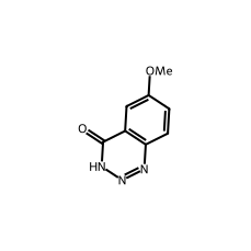 COc1ccc2nn[nH]c(=O)c2c1